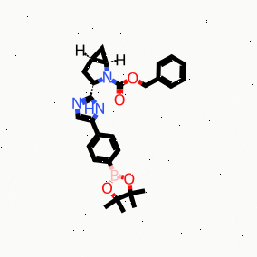 CC1(C)OB(c2ccc(-c3cnc([C@@H]4C[C@H]5C[C@H]5N4C(=O)OCc4ccccc4)[nH]3)cc2)OC1(C)C